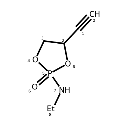 C#CC1COP(=O)(NCC)O1